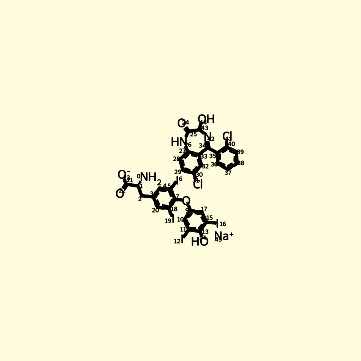 N[C@@H](Cc1cc(I)c(Oc2cc(I)c(O)c(I)c2)c(I)c1)C(=O)[O-].O=C1Nc2ccc(Cl)cc2C(c2ccccc2Cl)=NC1O.[Na+]